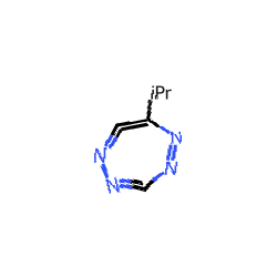 CC(C)C1=C=NN=CN=N1